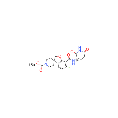 CC(C)(C)OC(=O)N1CCC2(CC1)COc1c2ccc(F)c1C(=O)N[C@H]1CCC(=O)NC1=O